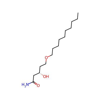 CCCCCCCCCCOCC[C@H](O)CC(N)=O